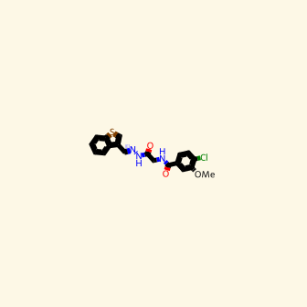 COc1cc(C(=O)NCC(=O)N/N=C/c2csc3ccccc23)ccc1Cl